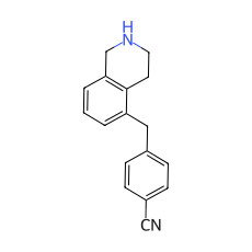 N#Cc1ccc(Cc2cccc3c2CCNC3)cc1